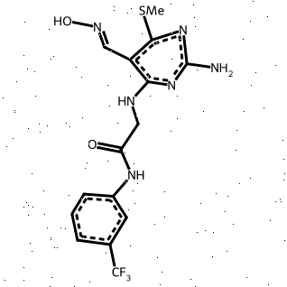 CSc1nc(N)nc(NCC(=O)Nc2cccc(C(F)(F)F)c2)c1/C=N/O